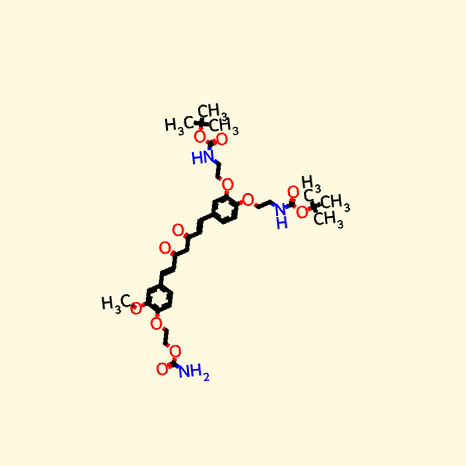 COc1cc(/C=C/C(=O)CC(=O)/C=C/c2ccc(OCCNC(=O)OC(C)(C)C)c(OCCNC(=O)OC(C)(C)C)c2)ccc1OCCOC(N)=O